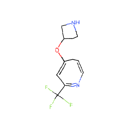 FC(F)(F)c1cc(OC2CNC2)ccn1